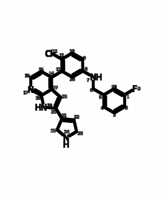 Fc1cccc(CNc2ccc(Cl)c(-c3ccnc4[nH]c(C5=CCNC5)cc34)c2)c1